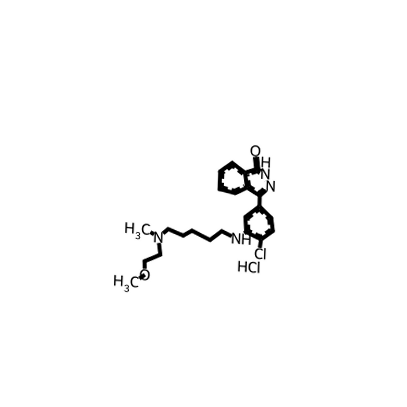 COCCN(C)CCCCCNc1cc(-c2n[nH]c(=O)c3ccccc23)ccc1Cl.Cl